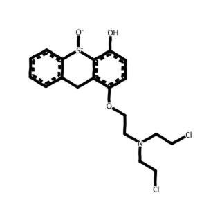 [O-][S+]1c2ccccc2Cc2c(OCCN(CCCl)CCCl)ccc(O)c21